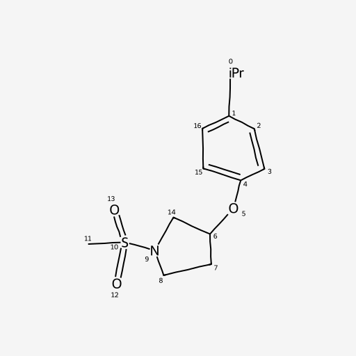 CC(C)c1ccc(OC2CCN(S(C)(=O)=O)C2)cc1